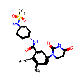 COc1c(C(=O)N[C@H]2CC[C@H](NS(C)(=O)=O)CC2)cc(N2CCC(=O)NC2=O)cc1C(C)(C)C